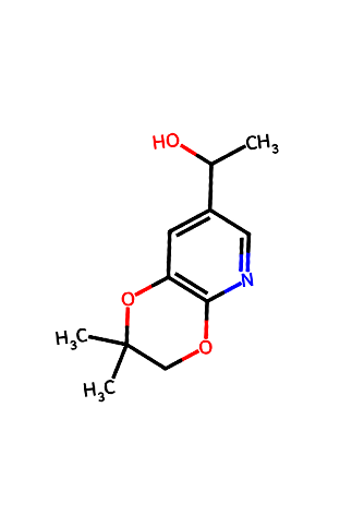 CC(O)c1cnc2c(c1)OC(C)(C)CO2